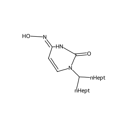 CCCCCCCC(CCCCCCC)n1cc/c(=N\O)[nH]c1=O